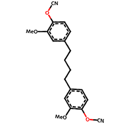 COc1cc(CCCCc2ccc(OC#N)c(OC)c2)ccc1OC#N